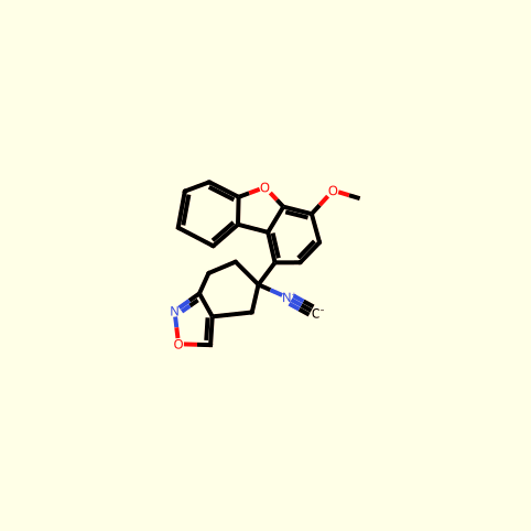 [C-]#[N+]C1(c2ccc(OC)c3oc4ccccc4c23)CCc2nocc2C1